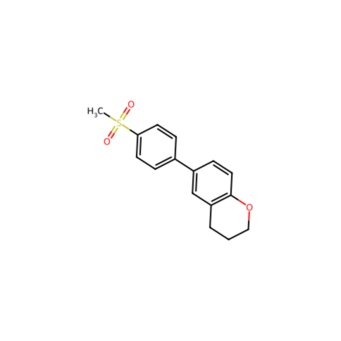 CS(=O)(=O)c1ccc(-c2ccc3c(c2)CCCO3)cc1